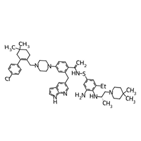 C=C(NSc1cc(N)c(N[C@@H](C)CN2CCC(C)(C)CC2)c(CC)c1)c1ccc(N2CCN(CC3=C(c4ccc(Cl)cc4)CC(C)(C)CC3)CC2)cc1Cc1cnc2[nH]ccc2c1